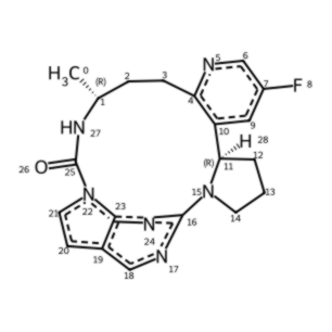 C[C@@H]1CCc2ncc(F)cc2[C@H]2CCCN2c2ncc3ccn(c3n2)C(=O)N1